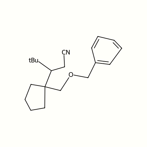 CC(C)(C)C(CC#N)C1(COCc2ccccc2)CCCC1